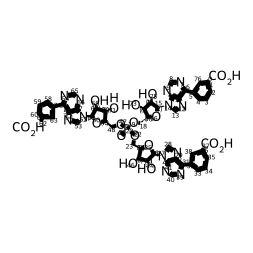 O=C(O)c1cccc(-c2ncnc3c2ncn3[C@@H]2O[C@H](COP(=O)(OC[C@H]3O[C@@H](n4cnc5c(-c6cccc(C(=O)O)c6)ncnc54)[C@H](O)[C@@H]3O)OC[C@H]3O[C@@H](n4cnc5c(-c6cccc(C(=O)O)c6)ncnc54)[C@H](O)[C@@H]3O)[C@@H](O)[C@H]2O)c1